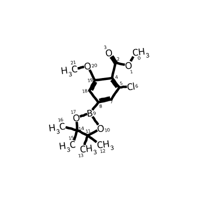 COC(=O)c1c(Cl)cc(B2OC(C)(C)C(C)(C)O2)cc1OC